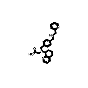 O=C(O)CN(Cc1ccc(CNCc2ccccn2)cc1)C1CCCc2cccnc21